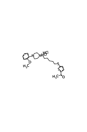 COc1ccccc1N1CCN(CCCCCCSc2ccc(C(C)=O)s2)CC1.Cl.Cl